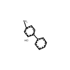 Cl.Nc1ccc(-c2ccccc2)cc1